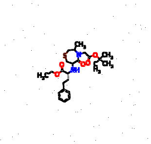 CCOC(=O)[C@@H](CCc1ccccc1)NC1CSCC(C)N(CC(=O)OC(C)(C)C)C1=O